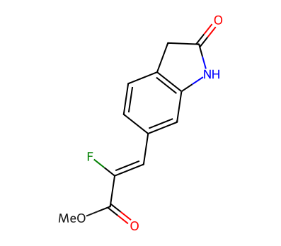 COC(=O)C(F)=Cc1ccc2c(c1)NC(=O)C2